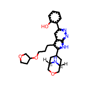 Oc1ccccc1-c1cc2c(CCCOC3CCOC3)c(C3C[C@H]4COC[C@@H](C3)N4)[nH]c2nn1